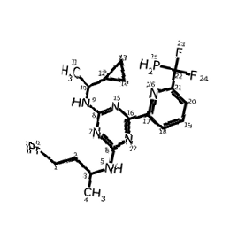 CC(C)CCC(C)Nc1nc(NC(C)C2CC2)nc(-c2cccc(C(F)(F)P)n2)n1